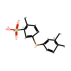 Cc1ccc(Sc2ccc(C)c(S(=O)(=O)O)c2)cc1C